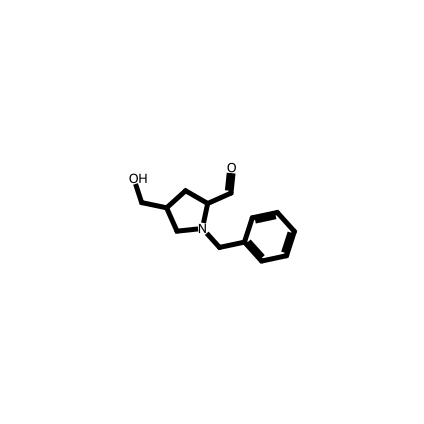 O=CC1CC(CO)CN1Cc1ccccc1